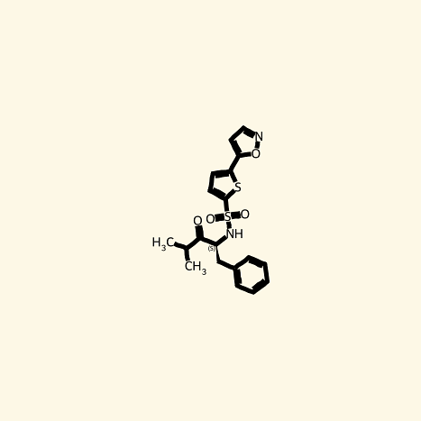 CC(C)C(=O)[C@H](Cc1ccccc1)NS(=O)(=O)c1ccc(-c2ccno2)s1